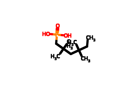 CCC(C)(C)CC(C)(C)CP(=O)(O)O